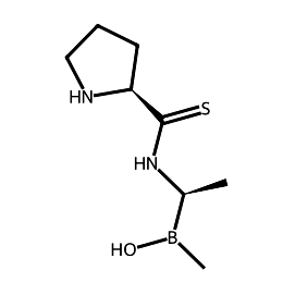 CB(O)[C@H](C)NC(=S)[C@@H]1CCCN1